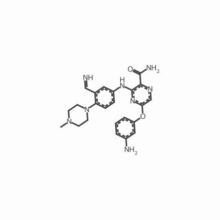 CN1CCN(c2ccc(Nc3nc(Oc4cccc(N)c4)cnc3C(N)=O)cc2C=N)CC1